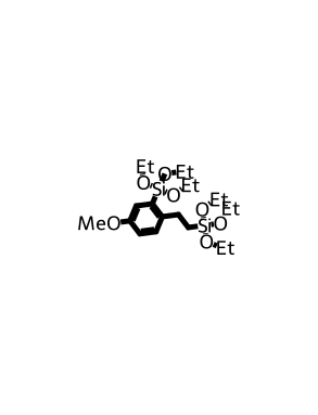 CCO[Si](CCc1ccc(OC)cc1[Si](OCC)(OCC)OCC)(OCC)OCC